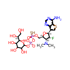 CN(C)[C@H]1[C@@H](F)[C@H](c2csc3c(N)ncnc23)O[C@@H]1COP(=O)(S)OP(=O)(O)OC1OC([C@@H](O)CO)C(O)C(O)C1O